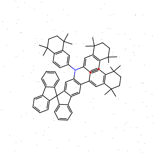 CC1(C)CCC(C)(C)c2cc(-c3cc4c(cc3N(c3ccc5c(c3)C(C)(C)CCC5(C)C)c3ccc5c(c3)C(C)(C)CCC5(C)C)C3(c5ccccc5-c5ccccc53)c3ccccc3-4)ccc21